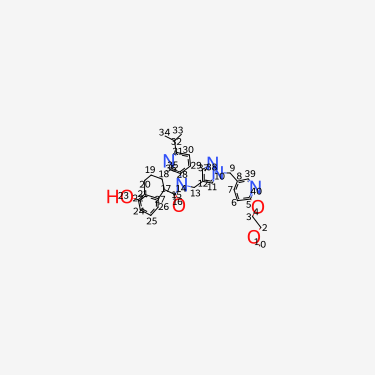 COCCOc1ccc(Cn2cc(CN(C(=O)C3CCCc4c(O)cccc43)c3ccc(C(C)C)nc3)cn2)cn1